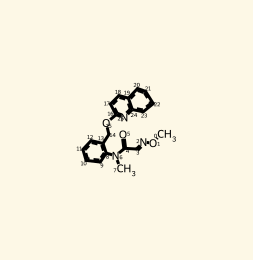 CON=CC(=O)N(C)c1ccccc1COc1ccc2ccccc2n1